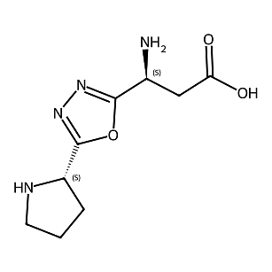 N[C@@H](CC(=O)O)c1nnc([C@@H]2CCCN2)o1